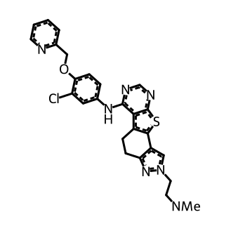 CNCCn1cc2c(n1)CCc1c-2sc2ncnc(Nc3ccc(OCc4ccccn4)c(Cl)c3)c12